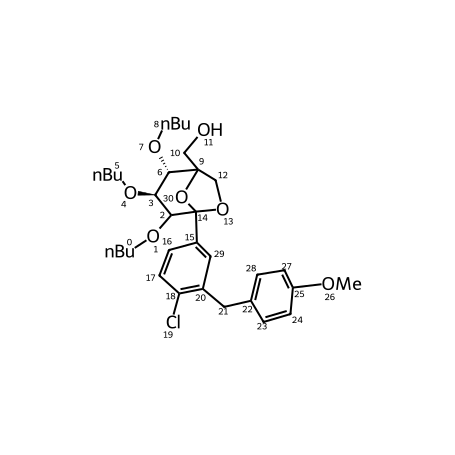 CCCCOC1[C@@H](OCCCC)[C@H](OCCCC)C2(CO)COC1(c1ccc(Cl)c(Cc3ccc(OC)cc3)c1)O2